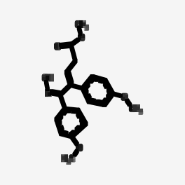 COC(=O)CC=C(C(=NO)c1ccc(OC)cc1)c1ccc(OC)cc1